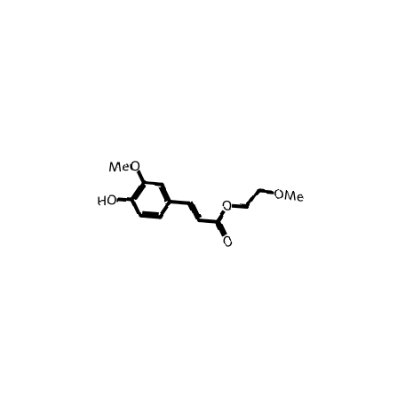 COCCOC(=O)C=Cc1ccc(O)c(OC)c1